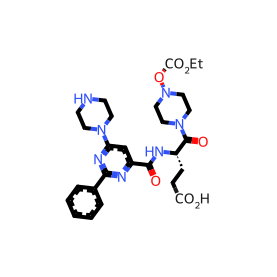 CCOC(=O)ON1CCN(C(=O)[C@H](CCC(=O)O)NC(=O)c2cc(N3CCNCC3)nc(-c3ccccc3)n2)CC1